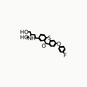 O=c1c2ccc(Oc3ccc(F)cc3)cc2sc2ccc(CCC(CO)NO)cc12